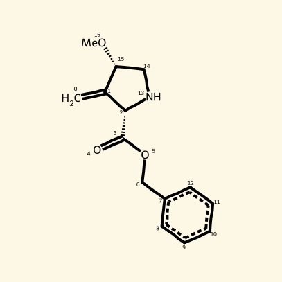 C=C1[C@@H](C(=O)OCc2ccccc2)NC[C@H]1OC